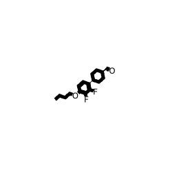 CCCCOc1ccc([C@H]2CC[C@H](C=O)CC2)c(F)c1F